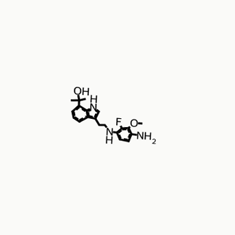 COc1c(N)ccc(NCCc2c[nH]c3c(C(C)(C)O)cccc23)c1F